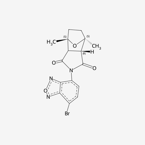 C[C@@]12CC[C@](C)(O1)[C@@H]1C(=O)N(c3ccc(Br)c4nonc34)C(=O)C12